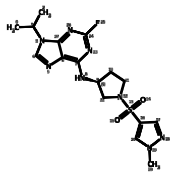 CC(C)n1cnc2c(N[C@H]3CCN(S(=O)(=O)c4cnn(C)c4)C3)nc(F)nc21